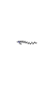 C=CCCCCCCCCCCCC/C(=C/C)CC